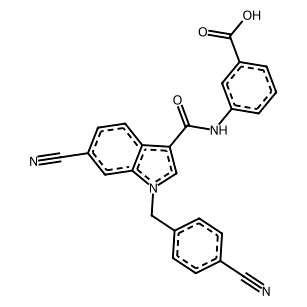 N#Cc1ccc(Cn2cc(C(=O)Nc3cccc(C(=O)O)c3)c3ccc(C#N)cc32)cc1